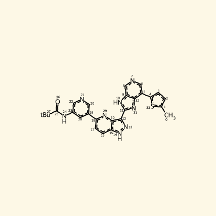 Cc1ccc(-c2cncc3[nH]c(-c4n[nH]c5ccc(-c6cncc(NC(=O)C(C)(C)C)c6)nc45)nc23)s1